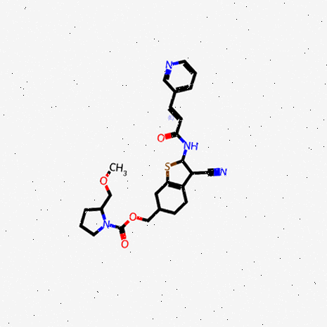 COCC1CCCN1C(=O)OCC1CCC2=C(C1)SC(NC(=O)/C=C/c1cccnc1)C2C#N